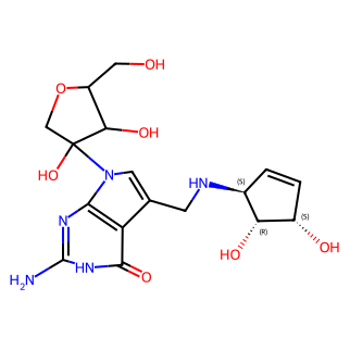 Nc1nc2c(c(CN[C@H]3C=C[C@H](O)[C@@H]3O)cn2C2(O)COC(CO)C2O)c(=O)[nH]1